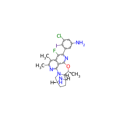 Cc1nc2c3c(nc(-c4cc(N)cc(Cl)c4I)c(F)c3c1C)O[C@@H](C)[C@@H]1[C@@H]3CC[C@H](CN21)N3